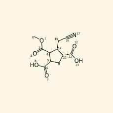 COC(=O)C1C(C(=O)O)CC(C(=O)O)C1CC#N